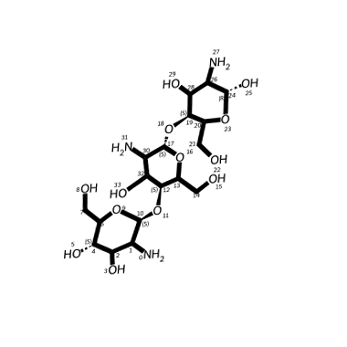 NC1C(O)[C@H](O)C(CO)O[C@H]1O[C@@H]1C(CO)O[C@@H](O[C@@H]2C(CO)O[C@@H](O)C(N)C2O)C(N)C1O